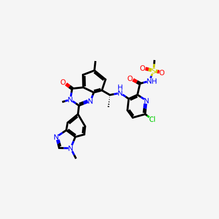 Cc1cc([C@@H](C)Nc2ccc(Cl)nc2C(=O)NS(C)(=O)=O)c2nc(-c3ccc4c(c3)ncn4C)n(C)c(=O)c2c1